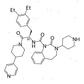 CCc1ccc(C[C@@H](NC(=O)N2C(=O)N(C3CCNCC3)CCc3ccccc32)C(=O)N2CCC(c3ccncc3)CC2)cc1CC